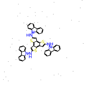 c1ccc2c(c1)c1ccccc1n2Nc1cc2c(s1)c1cc(Nn3c4ccccc4c4ccccc43)sc1c1cc(Nn3c4ccccc4c4ccccc43)sc21